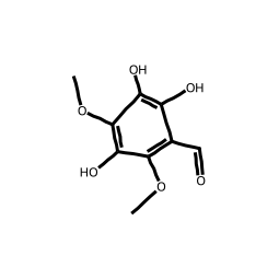 COc1c(O)c(O)c(C=O)c(OC)c1O